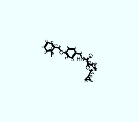 O=C(NCc1ccc(OCc2ccccc2F)cc1)c1nnc(C2CC2)o1